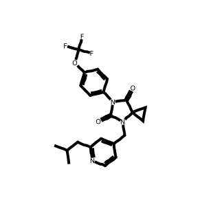 CC(C)Cc1cc(CN2C(=O)N(c3ccc(OC(F)(F)F)cc3)C(=O)C23CC3)ccn1